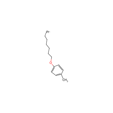 C[C](C)CCCCCCOc1ccc(C)cc1